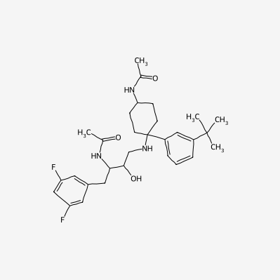 CC(=O)NC1CCC(NCC(O)C(Cc2cc(F)cc(F)c2)NC(C)=O)(c2cccc(C(C)(C)C)c2)CC1